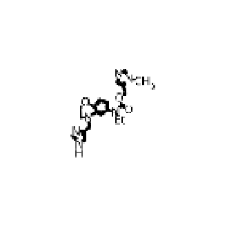 CCN(C(=O)OCc1cncn1C)c1ccc2c(c1)N(Cc1c[nH]cn1)CCO2